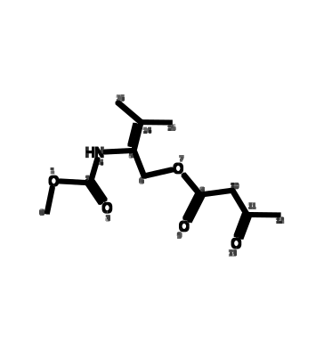 COC(=O)NC(COC(=O)CC(C)=O)=C(C)C